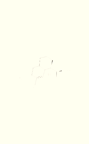 CC(=O)O[C@@H]1[C][C@@]2(O)[C@H](C)CC[C@@H]([C@H](C)C=O)[C@H]2C=C1C